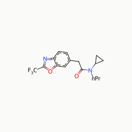 CCCN(C(=O)Cc1ccc2nc(C(F)(F)F)oc2c1)C1CC1